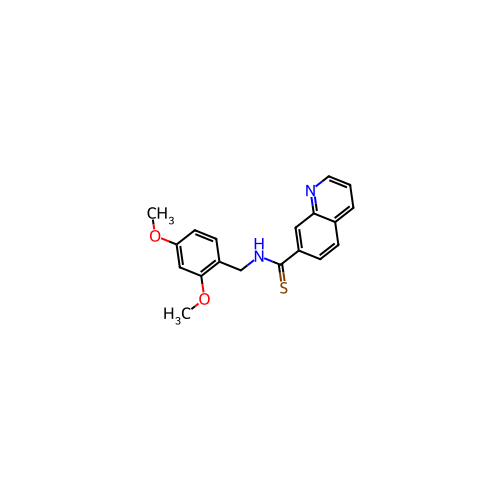 COc1ccc(CNC(=S)c2ccc3cccnc3c2)c(OC)c1